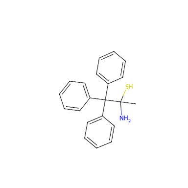 CC(N)(S)C(c1ccccc1)(c1ccccc1)c1ccccc1